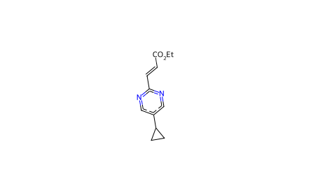 CCOC(=O)C=Cc1ncc(C2CC2)cn1